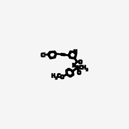 COc1ccc(S(C)(=O)=NC(=O)c2cncc(C#Cc3ccc(Cl)cc3)c2)cc1